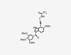 COc1cc(C(=O)c2n[nH]c3c(C#CCNC(=O)C(F)(F)F)c(OC)ccc23)cc(OC)c1OC